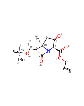 C=CCOC(=O)[C@@H]1C(=O)C[C@@H]2[C@@H]([C@@H](C)O[Si](C)(C)C(C)(C)C)C(=O)N12